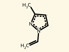 C=Cn1c[c]c(C)n1